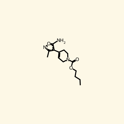 CCCCOC(=O)N1CC=C(c2c(C)noc2N)CC1